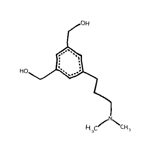 CN(C)CCCc1cc(CO)cc(CO)c1